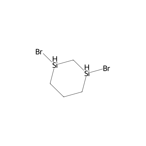 Br[SiH]1CCC[SiH](Br)C1